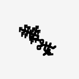 CCC(C)(C)CC(C)(C(=O)OCCC(C(F)(F)F)(C(F)(F)F)C(F)(F)C(F)(F)C(F)(F)F)C(C)(CC)CC